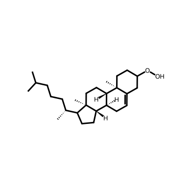 CC(C)CCC[C@@H](C)C1CC[C@H]2[C@@H]3CC=C4CC(OO)CC[C@]4(C)[C@H]3CC[C@]12C